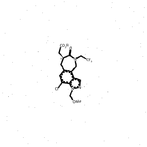 COCn1ncc2c3c(cc(Cl)c21)C[C@@H](CC(=O)O)C(=O)N(CC(F)(F)F)C3